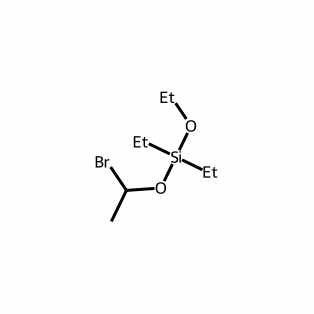 CCO[Si](CC)(CC)OC(C)Br